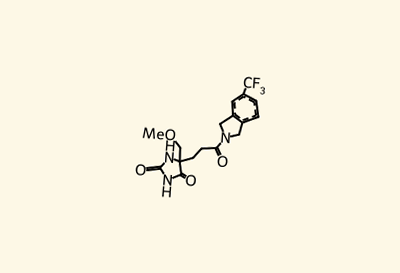 COCC1(CCC(=O)N2Cc3ccc(C(F)(F)F)cc3C2)NC(=O)NC1=O